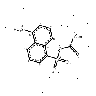 CCCCCCCCCC(=O)OS(=O)(=O)c1cccc2c(S(=O)(=O)O)cccc12